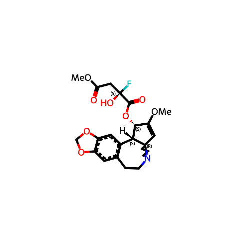 COC(=O)C[C@](O)(F)C(=O)O[C@@H]1C(OC)=C[C@]23CCCN2CCc2cc4c(cc2[C@H]13)OCO4